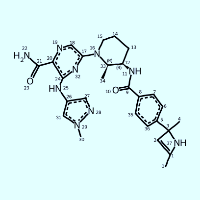 CC1=CC(C)(c2ccc(C(=O)N[C@@H]3CCCN(c4cnc(C(N)=O)c(Nc5cnn(C)c5)n4)[C@@H]3C)cc2)N1